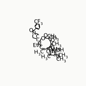 CCN1C[C@H](C)C[C@@](C)(OC)[C@H](O[C@@H]2O[C@H](C)C[C@H](N(C)C)[C@H]2O)[C@@H](C)C(=O)C(C)(C)C(=O)OC[C@H]1CC1CCN(C(=O)c2cccc(C(F)(F)F)c2)CC1